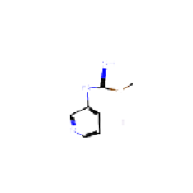 CSC(=N)Nc1cccnc1.I